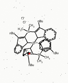 CCCCC1=C2[CH](c3ccccc31)[Zr+2]1([CH]3C(=C(CCCC)c4ccccc43)[Si]2(C)C)[CH]2C(=C(CCCC)c3ccccc32)[Si](C)(C)C2=C(CCCC)c3ccccc3[CH]21.[Cl-].[Cl-]